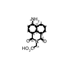 Nc1ccc2c3c(cccc13)C(=O)N(CC(=O)O)C2=O